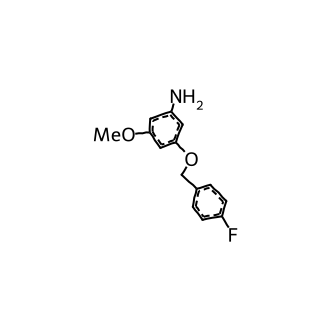 COc1cc(N)cc(OCc2ccc(F)cc2)c1